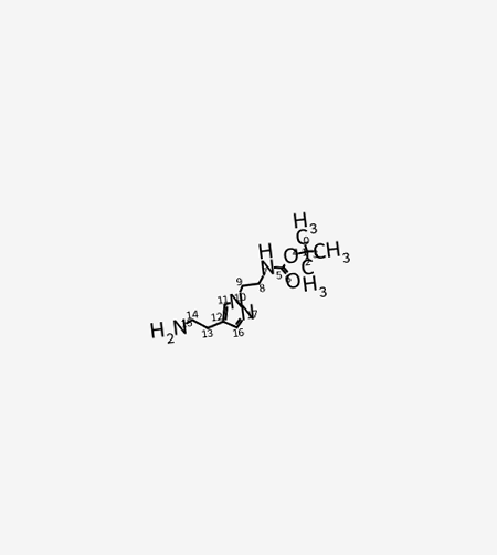 CC(C)(C)OC(=O)NCCn1cc(CCN)cn1